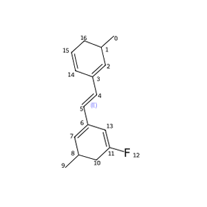 CC1C=C(/C=C/C2=CC(C)CC(F)=C2)C=CC1